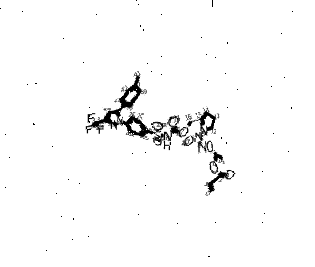 CCC(=O)OC(C)O/N=[N+](/[O-])N1CCC[C@H]1COC(=O)NS(=O)(=O)c1ccc(-n2nc(C(F)(F)F)cc2-c2ccc(C)cc2)cc1